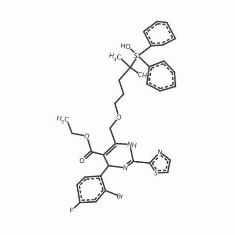 CCOC(=O)C1=C(COCCCC(C)(C)[Si](O)(c2ccccc2)c2ccccc2)NC(c2nccs2)=NC1c1ccc(F)cc1Br